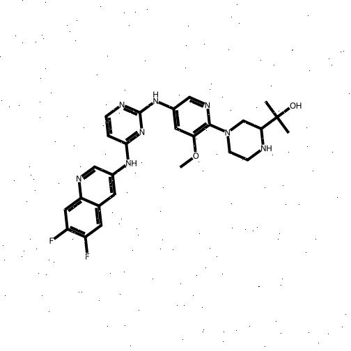 COc1cc(Nc2nccc(Nc3cnc4cc(F)c(F)cc4c3)n2)cnc1N1CCNC(C(C)(C)O)C1